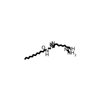 CCCCCCCCCCCC(=O)NCCn1cc(CCCCCc2c[nH]c(N)n2)nn1